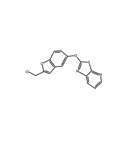 ClCc1cc2cc(Oc3nc4cccnc4s3)ccc2o1